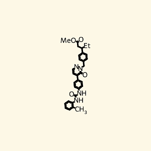 CCC(CC(=O)OC)c1ccc(Cn2nccc(-c3ccc(NC(=O)Nc4ccccc4C)cc3)c2=O)cc1